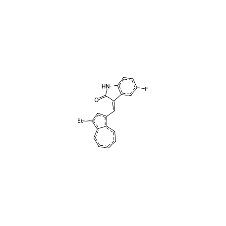 CCc1cc(C=C2C(=O)Nc3ccc(F)cc32)c2cccccc1-2